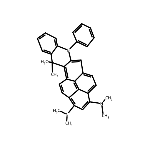 CN(C)c1cc(N(C)C)c2ccc3c4c(cc5ccc1c2c53)B(c1ccccc1)c1ccccc1C4(C)C